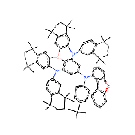 CC(C)(C)c1ccc(N(c2cc3c4c(c2)N(c2ccc5c(c2)C(C)(C)CCC5(C)C)c2cc5c(cc2B4c2cc4c(cc2N3c2ccc3c(c2)C(C)(C)CCC3(C)C)C(C)(C)CCC4(C)C)C(C)(C)CCC5(C)C)c2cccc3oc4ccccc4c23)cc1